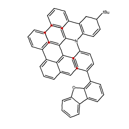 CC(C)(C)C1C=CC(N(C2=CCCC=C2c2cccc3cccc(-c4ccccc4)c23)c2ccc(-c3cccc4c3oc3ccccc34)cc2)=C(c2ccccc2)C1